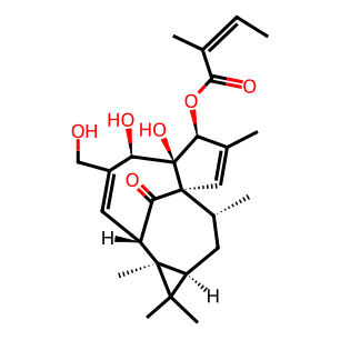 C/C=C(/C)C(=O)O[C@H]1C(C)=C[C@]23C(=O)[C@@H](C=C(CO)[C@@H](O)[C@]12O)[C@@]1(C)[C@@H](C[C@H]3C)C1(C)C